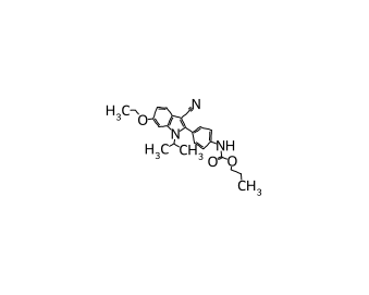 CCCOC(=O)Nc1ccc(-c2c(C#N)c3ccc(OCC)cc3n2C(C)C)cc1